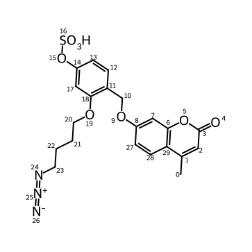 Cc1cc(=O)oc2cc(OCc3ccc(OS(=O)(=O)O)cc3OCCCCN=[N+]=[N-])ccc12